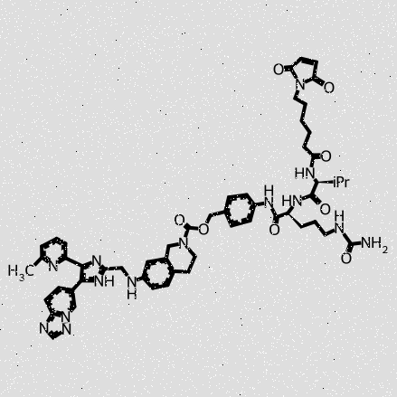 Cc1cccc(-c2nc(CNc3ccc4c(c3)CN(C(=O)OCc3ccc(NC(=O)[C@H](CCCNC(N)=O)NC(=O)[C@@H](NC(=O)CCCCCN5C(=O)C=CC5=O)C(C)C)cc3)CC4)[nH]c2-c2ccc3ncnn3c2)n1